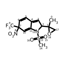 CC1(C2C=C3C=CC([N+](=O)[O-])(C(F)(F)F)C=C3N2S(C)(=O)=O)CO1